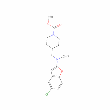 CC(C)(C)OC(=O)N1CCC(CN(C=O)c2cc3cc(Cl)ccc3o2)CC1